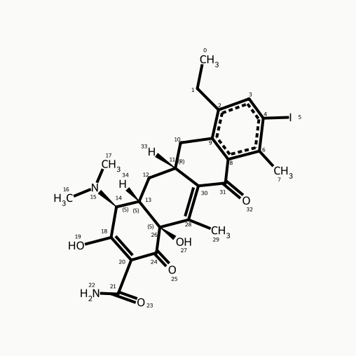 CCc1cc(I)c(C)c2c1C[C@H]1C[C@H]3[C@H](N(C)C)C(O)=C(C(N)=O)C(=O)[C@@]3(O)C(C)=C1C2=O